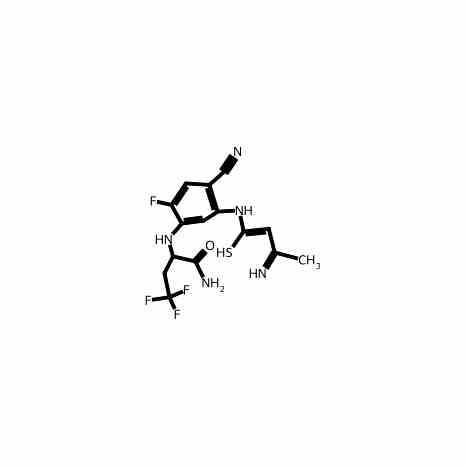 CC(=N)/C=C(\S)Nc1cc(NC(CC(F)(F)F)C(N)=O)c(F)cc1C#N